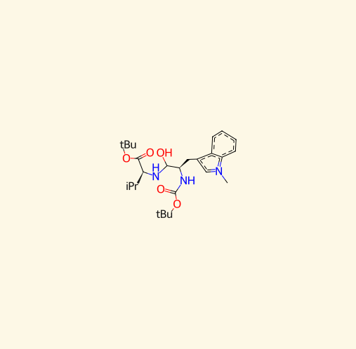 CC(C)[C@H](NC(O)[C@@H](Cc1cn(C)c2ccccc12)NC(=O)OC(C)(C)C)C(=O)OC(C)(C)C